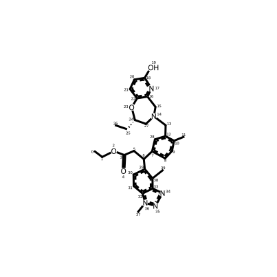 CCOC(=O)CC(c1ccc(C)c(CN2Cc3nc(O)ccc3O[C@@H](CC)C2)c1)c1ccc2c(nnn2C)c1C